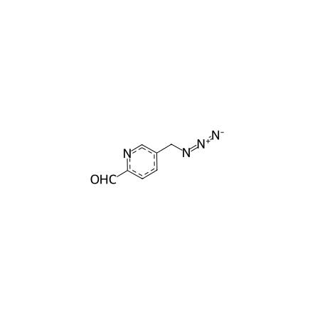 [N-]=[N+]=NCc1ccc(C=O)nc1